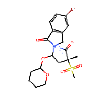 C[C@@](CC(OC1CCCCO1)N1Cc2cc(Br)ccc2C1=O)(C(N)=O)S(C)(=O)=O